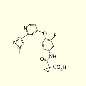 Cn1cc(-c2cc(Oc3ccc(NC(=O)C4(C(=O)O)CC4)cc3F)ccn2)cn1